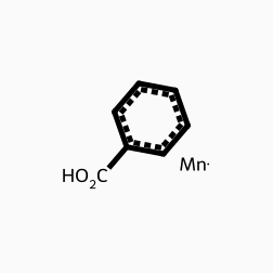 O=C(O)c1ccccc1.[Mn]